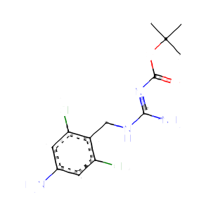 CC(C)(C)OC(=O)N=C(N)NCc1c(Cl)cc(N)cc1Cl